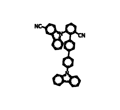 N#Cc1ccc2c(c1)c1ccccc1n2-c1cccc(C#N)c1-c1ccc(-c2ccc(-n3c4ccccc4c4ccccc43)cc2)cc1